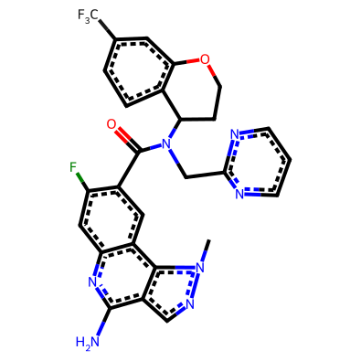 Cn1ncc2c(N)nc3cc(F)c(C(=O)N(Cc4ncccn4)C4CCOc5cc(C(F)(F)F)ccc54)cc3c21